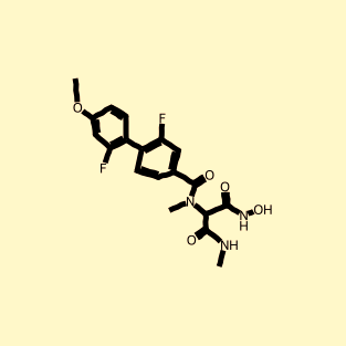 CNC(=O)C(C(=O)NO)N(C)C(=O)c1ccc(-c2ccc(OC)cc2F)c(F)c1